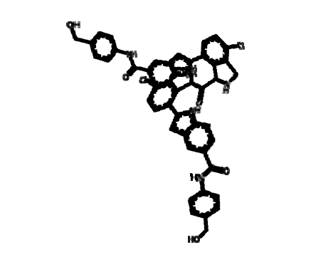 O=C(Nc1ccc(CO)cc1)c1ccc2[nH]c(-c3ccc(Cl)c4c3C(C(=O)C3NCc5c(Cl)ccc(-c6cc7cc(C(=O)Nc8ccc(CO)cc8)ccc7[nH]6)c53)NC4)cc2c1